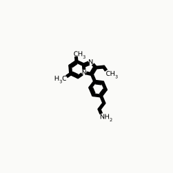 CCc1nc2c(C)cc(C)cn2c1-c1ccc(CCN)cc1